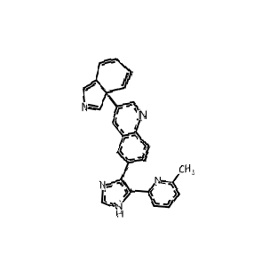 Cc1cccc(-c2[nH]cnc2-c2ccc3ncc(C45C=CC=CC4=CN=C5)cc3c2)n1